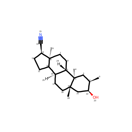 C[C@@H]1C[C@]2(C)[C@H]3CC[C@@]4(C)C(CC[C@H]4C#N)[C@@H]3CC[C@@]2(C)C[C@@H]1O